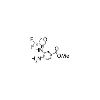 COC(=O)c1ccc(N)c(N[C@@H]2COC[C@H]2C(F)F)c1